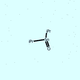 C[CH](C)[Sn](=[O])[CH](C)C